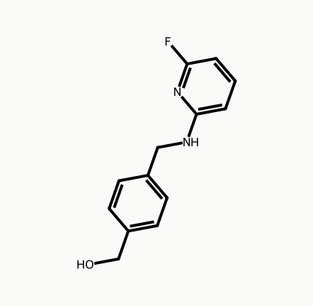 OCc1ccc(CNc2cccc(F)n2)cc1